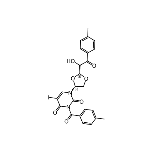 Cc1ccc(C(=O)C(O)[C@H]2OC[C@@H](n3cc(I)c(=O)n(C(=O)c4ccc(C)cc4)c3=O)O2)cc1